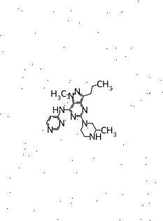 CCCc1nn(C)c2c(Nc3ccncn3)nc(N3CCNC(C)C3)nc12